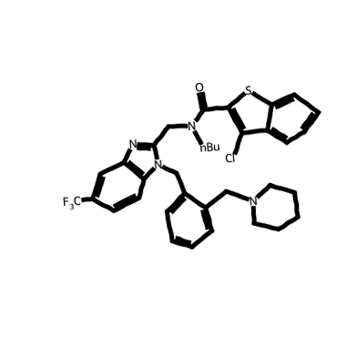 CCCCN(Cc1nc2cc(C(F)(F)F)ccc2n1Cc1ccccc1CN1CCCCC1)C(=O)c1sc2ccccc2c1Cl